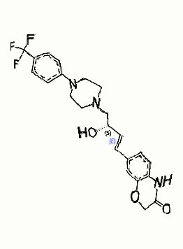 O=C1COc2cc(/C=C/[C@H](O)CN3CCN(c4ccc(C(F)(F)F)cc4)CC3)ccc2N1